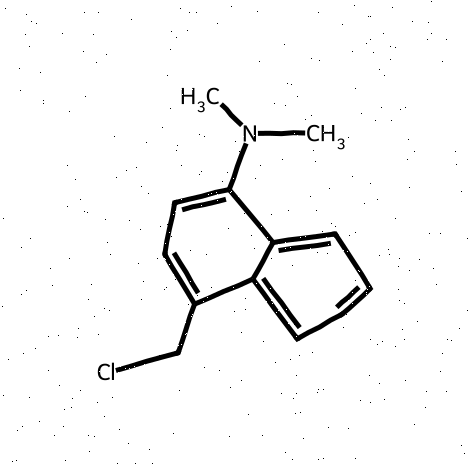 CN(C)c1ccc(CCl)c2ccccc12